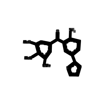 COc1cc(C(=O)c2cc(-c3cccs3)ccc2N)cc(OC)c1OC